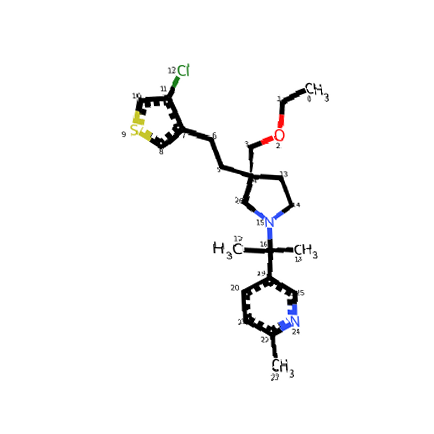 CCOC[C@@]1(CCc2cscc2Cl)CCN(C(C)(C)c2ccc(C)nc2)C1